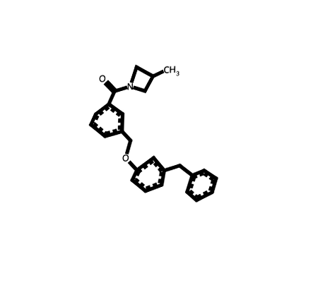 CC1CN(C(=O)c2cccc(COc3cccc(Cc4ccccc4)c3)c2)C1